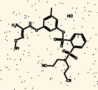 CCCON=C(N)NOc1cc(C)cc(OS(=O)(=O)c2ccccc2S(=O)(=O)N(CCC#N)CCC#N)c1.Cl